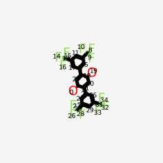 O=C1C=C(c2cc(C(F)(F)F)cc(C(F)(F)F)c2)C(=O)C=C1c1cc(C(F)(F)F)cc(C(F)(F)F)c1